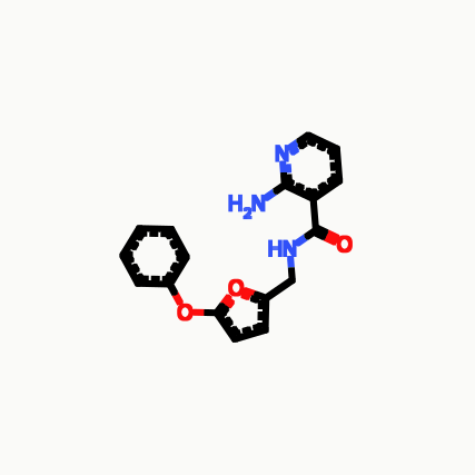 Nc1ncccc1C(=O)NCc1ccc(Oc2ccccc2)o1